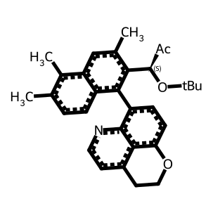 CC(=O)[C@@H](OC(C)(C)C)c1c(C)cc2c(C)c(C)ccc2c1-c1ccc2c3c(ccnc13)CCO2